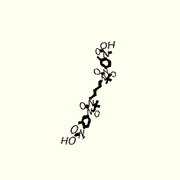 Cc1cc(N2C(=O)N(CCCCCN3C(=O)N(c4ccc(N(C)C(=O)O)c(C)c4)C(=O)C3(C)C)C(C)(C)C2=O)ccc1N(C)C(=O)O